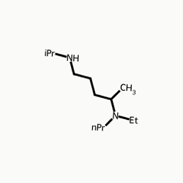 CCCN(CC)C(C)CCCNC(C)C